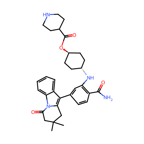 CC1(C)CC(=O)n2c(c(-c3ccc(C(N)=O)c(N[C@H]4CC[C@H](OC(=O)C5CCNCC5)CC4)c3)c3ccccc32)C1